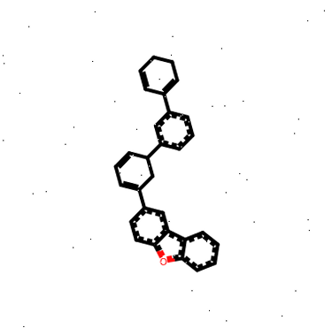 C1=CC(c2cccc(C3=CCCC=C3)c2)CC(c2ccc3oc4ccccc4c3c2)=C1